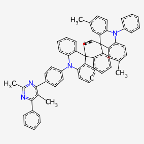 Cc1ccc2c(c1)C1(c3cc(C)ccc3N2c2ccccc2)c2ccccc2C2(c3ccccc3N(c3ccc(-c4nc(C)nc(-c5ccccc5)c4C)cc3)c3ccccc32)c2ccccc21